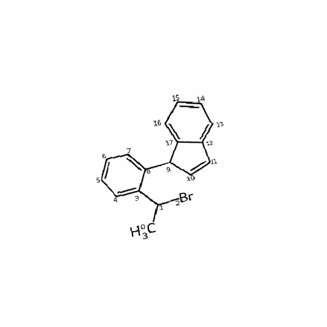 CC(Br)c1ccccc1C1C=Cc2ccccc21